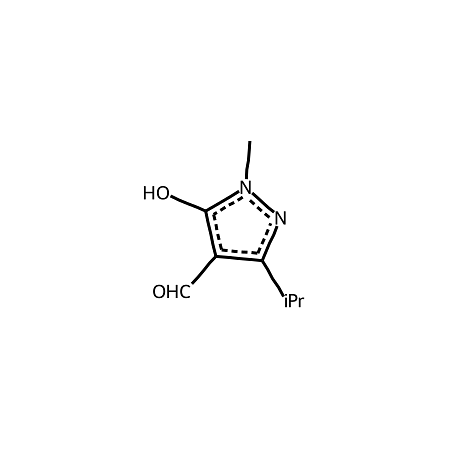 CC(C)c1nn(C)c(O)c1C=O